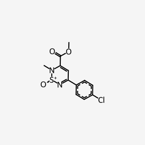 COC(=O)C1=CC(c2ccc(Cl)cc2)=N[S+]([O-])N1C